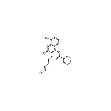 CC/C=C/CCOc1c(OC(=O)c2ccccc2)c2cccc(O)c2oc1=O